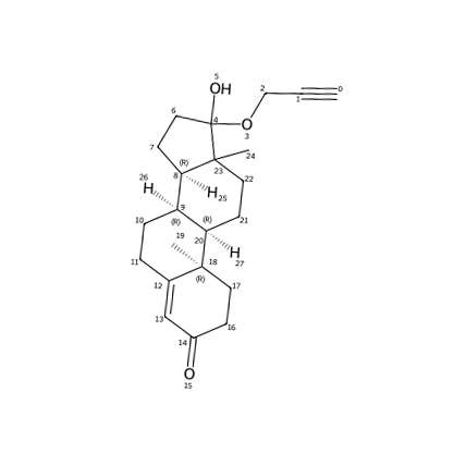 C#CCOC1(O)CC[C@@H]2[C@@H]3CCC4=CC(=O)CC[C@]4(C)[C@@H]3CCC21C